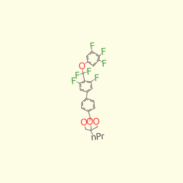 CCCC12COC(c3ccc(-c4cc(F)c(C(F)(F)Oc5cc(F)c(F)c(F)c5)c(F)c4)cc3)(OC1)OC2